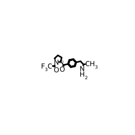 CC(N)Cc1ccc(C(=O)[C@@H]2CCCN2C(=O)C(F)(F)F)cc1